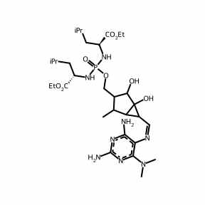 CCOC(=O)[C@H](CC(C)C)NP(=O)(N[C@@H](CC(C)C)C(=O)OCC)OCC1C(C)C2C(/C=N\c3c(N)nc(N)nc3N(C)C)C2(O)C1O